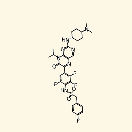 CC(C)n1c(=O)c(-c2cc(F)c(NS(=O)(=O)Cc3ccc(F)cc3)c(F)c2F)nc2cnc(N[C@H]3CC[C@H](N(C)C)CC3)nc21